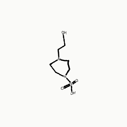 O=S(=O)(O)N1CCN(CCO)CC1